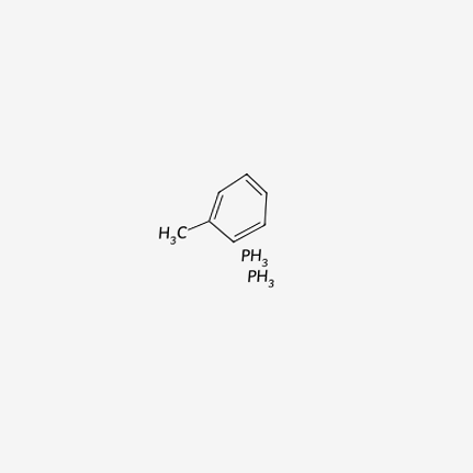 Cc1ccccc1.P.P